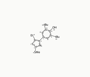 CCc1sc(SC)nc1-c1cc(C(C)(C)C)c(O)c(C(C)(C)C)c1